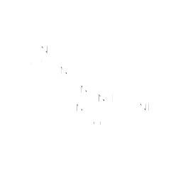 O=C1NCCn2c1cc1cnc(NC(=O)[C@H]3CCCNC3)nc12